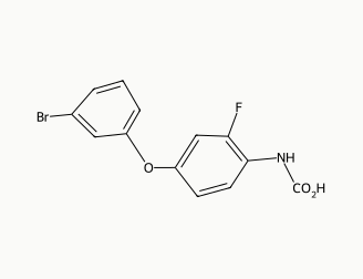 O=C(O)Nc1ccc(Oc2cccc(Br)c2)cc1F